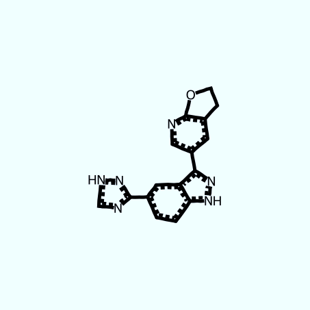 c1nc(-c2ccc3[nH]nc(-c4cnc5c(c4)CCO5)c3c2)n[nH]1